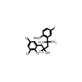 COc1ccc(F)cc1C(C)(C)CC(O)(Cc1cc(Cl)cc(Cl)c1Cl)C(F)(F)F